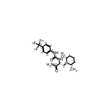 C[C@@H]1CCC[C@H](C)N1C[C@@H](NC(=O)Nc1ccc(C(F)(F)F)cc1)C(N)=O